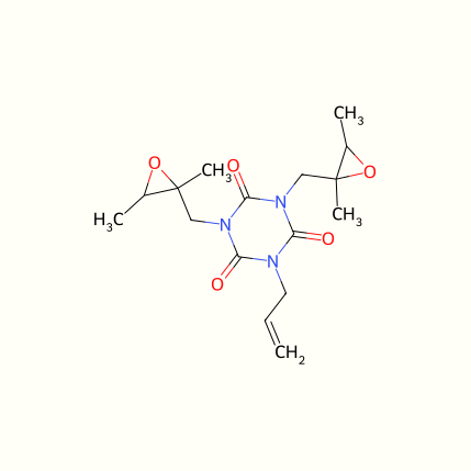 C=CCn1c(=O)n(CC2(C)OC2C)c(=O)n(CC2(C)OC2C)c1=O